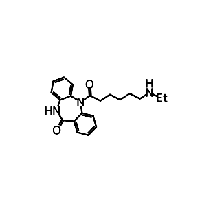 CCNCCCCCC(=O)N1c2ccccc2NC(=O)c2ccccc21